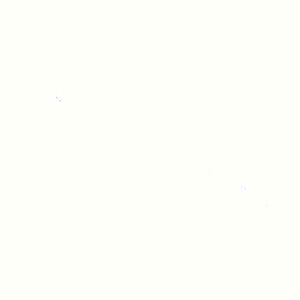 O=C(CCCCCC(=O)ON1C(=O)CCC1=O)CN1C(=O)CCC1=O